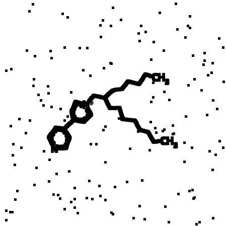 CCCCCCCCC(CCCCCC)C[n+]1ccc(-c2ccncc2)cc1